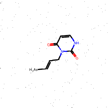 O=c1cc[nH]c(=O)n1CC=C[AsH2]